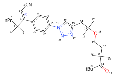 CCCC(C)(C)/C(=C/C#N)c1ccc(-n2cc(CC(C)(C)OCCC(C)(C)C(=O)C(C)(C)C)nn2)cc1